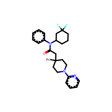 CC(=O)C1(CC(=O)N(c2ccccc2)C2CCCC(F)(F)C2)CCN(c2ccccn2)CC1